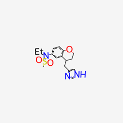 CCN(c1ccc2c(c1)C(Cc1c[nH]cn1)CCO2)S(C)(=O)=O